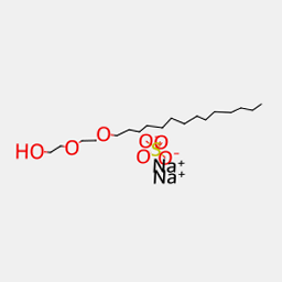 CCCCCCCCCCCCCCOCCOCCO.O=S(=O)([O-])[O-].[Na+].[Na+]